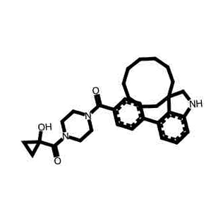 O=C(c1ccc(-c2cccc3c2C2(CCCCCCCCC2)CN3)cc1)N1CCN(C(=O)C2(O)CC2)CC1